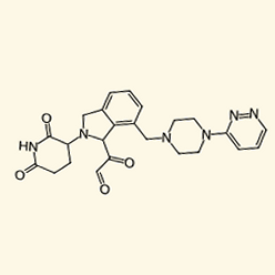 O=CC(=O)C1c2c(CN3CCN(c4cccnn4)CC3)cccc2CN1C1CCC(=O)NC1=O